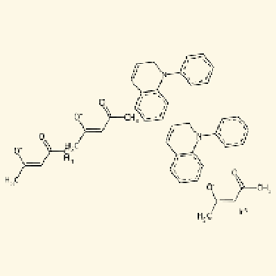 C1=Cc2ccccc2N(c2ccccc2)C1.C1=Cc2ccccc2N(c2ccccc2)C1.CC(=O)/C=C(/C)[O-].CC(=O)/C=C(/C)[O-].CC(=O)/C=C(/C)[O-].[Ir+3]